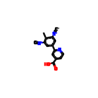 [C-]#[N+]c1cc(-c2cc(C(=O)O)ccn2)cc([N+]#[C-])c1C